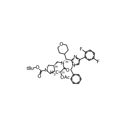 CC(=O)O[C@@H](C)C(=O)N(C[C@H]1CCN(C(=O)OC(C)(C)C)C1)[C@@H](c1nc(-c2cc(F)ccc2F)cn1Cc1ccccc1)C1CCOCC1